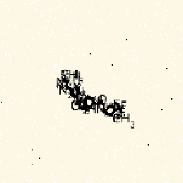 CO[C@]1(C(F)(F)F)CC[C@H](NC(=O)C2CCN(C(=O)c3cc(-c4cc(C)ncn4)[nH]n3)C3(CC3)C2)CC1